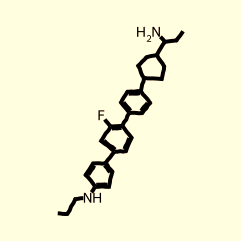 CCCNc1ccc(-c2ccc(-c3ccc(C4CCC(C(N)CC)CC4)cc3)c(F)c2)cc1